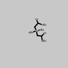 CCCCC(CC)[CH2][Sn]([CH2]CCC)([CH2]CCC)[CH2]C(CC)CCCC